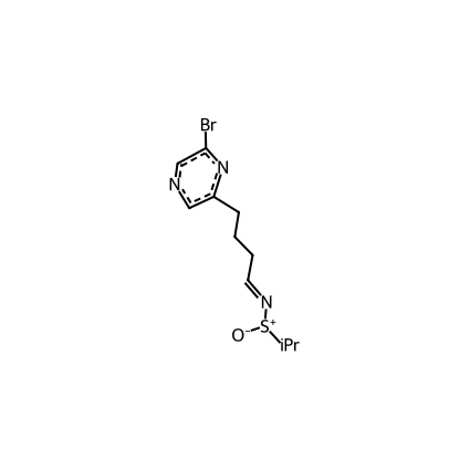 CC(C)[S+]([O-])/N=C/CCCc1cncc(Br)n1